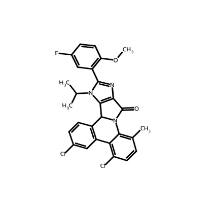 COc1ccc(F)cc1-c1nc2c(n1C(C)C)C1c3ccc(Cl)cc3-c3c(Cl)ccc(C)c3N1C2=O